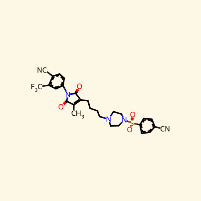 CC1=C(CCCCN2CCN(S(=O)(=O)c3ccc(C#N)cc3)CC2)C(=O)N(c2ccc(C#N)c(C(F)(F)F)c2)C1=O